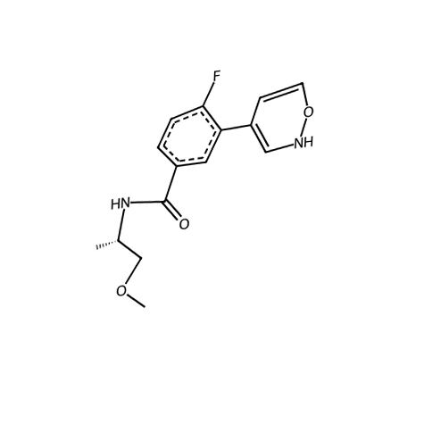 COC[C@H](C)NC(=O)c1ccc(F)c(C2=CNOC=C2)c1